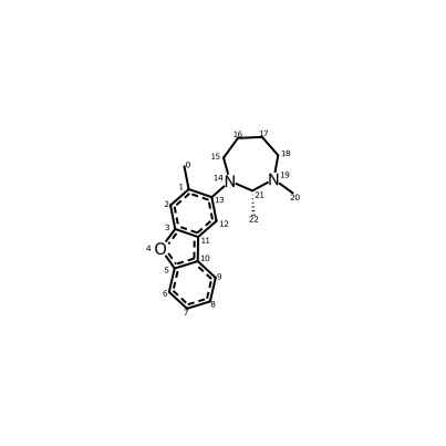 Cc1cc2oc3ccccc3c2cc1N1CCCCN(C)[C@@H]1C